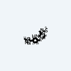 CSc1ncc2c(Nc3cc(-c4nnc(C)o4)ccc3C)nccn12